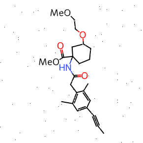 CC#Cc1cc(C)c(CC(=O)NC2(C(=O)OC)CCCC(OCCOC)C2)c(C)c1